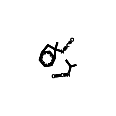 CC(C)N=C=O.CC1(N=C=O)Cc2cccc1c2